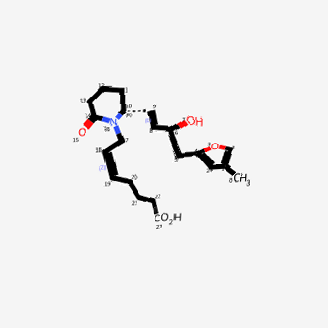 Cc1coc(CC(O)/C=C/[C@H]2CCCC(=O)N2C/C=C\CCCC(=O)O)c1